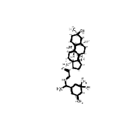 C=C1CC(C(C)NCC(=O)[C@H]2CC[C@H]3[C@@H]4CC[C@@H]5C[C@](C)(O)CC[C@@H]5[C@H]4CC[C@]23C)CC(C)(O)C1